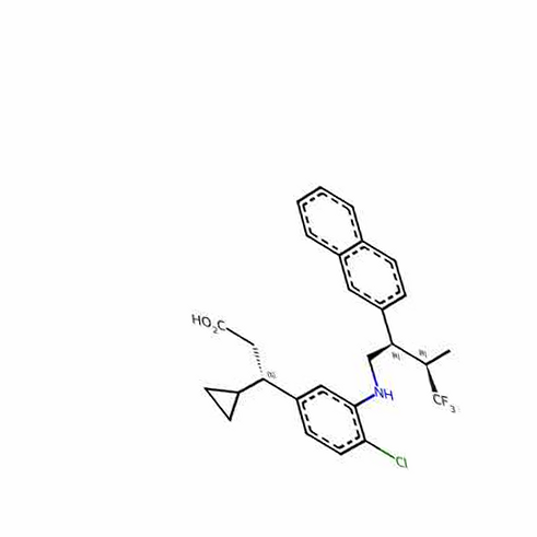 C[C@H]([C@@H](CNc1cc([C@@H](CC(=O)O)C2CC2)ccc1Cl)c1ccc2ccccc2c1)C(F)(F)F